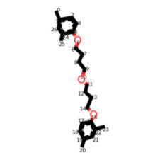 Cc1ccc(OCCCCOCCCCOc2ccc(C)cc2C)c(C)c1